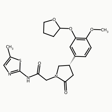 COc1ccc([C@@H]2CC(=O)N(CC(=O)Nc3ncc(C)s3)C2)cc1OC1CCCO1